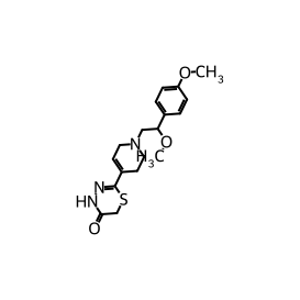 COc1ccc(C(CN2CC=C(C3=NNC(=O)CS3)CC2)OC)cc1